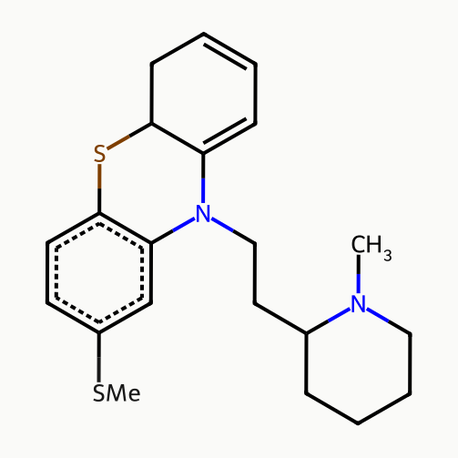 CSc1ccc2c(c1)N(CCC1CCCCN1C)C1=CC=CCC1S2